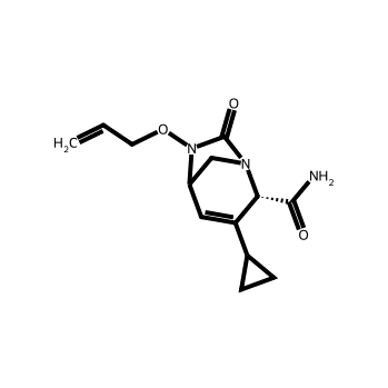 C=CCON1C(=O)N2CC1C=C(C1CC1)[C@H]2C(N)=O